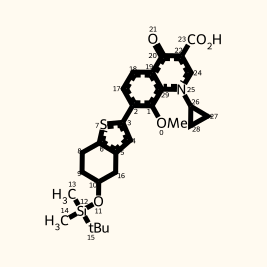 COc1c(-c2cc3c(s2)CCC(O[Si](C)(C)C(C)(C)C)C3)ccc2c(=O)c(C(=O)O)cn(C3CC3)c12